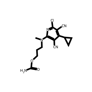 CN(CCCOC(N)=O)c1nc(Cl)c(C#N)c(C2CC2)c1C#N